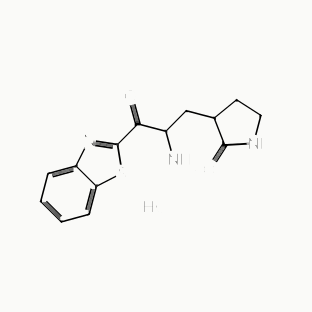 Cl.NC(CC1CCNC1=O)C(=O)c1nc2ccccc2s1